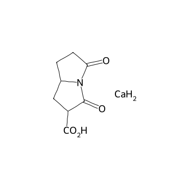 O=C(O)C1CC2CCC(=O)N2C1=O.[CaH2]